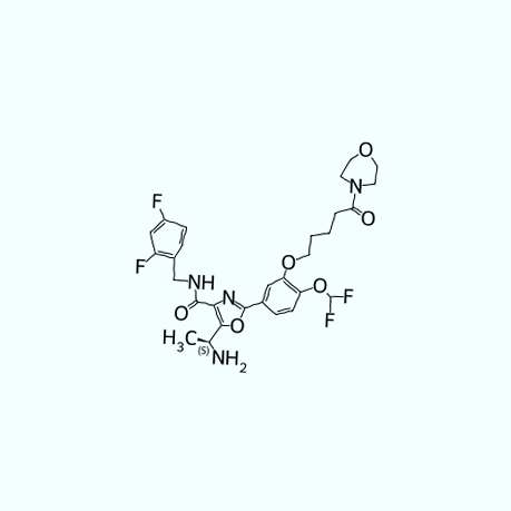 C[C@H](N)c1oc(-c2ccc(OC(F)F)c(OCCCCC(=O)N3CCOCC3)c2)nc1C(=O)NCc1ccc(F)cc1F